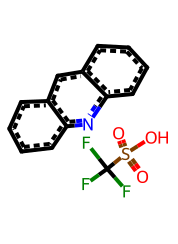 O=S(=O)(O)C(F)(F)F.c1ccc2nc3ccccc3cc2c1